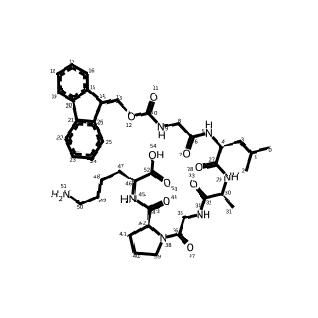 CC(C)C[C@H](NC(=O)CNC(=O)OCC1c2ccccc2-c2ccccc21)C(=O)N[C@@H](C)C(=O)NCC(=O)N1CCC[C@H]1C(=O)N[C@@H](CCCCN)C(=O)O